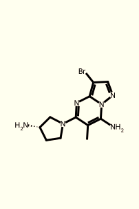 Cc1c(N2CC[C@H](N)C2)nc2c(Br)cnn2c1N